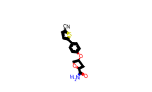 N#Cc1ccc(-c2ccc(O[C@H]3[CH]C(C(N)=O)OC3)cc2)s1